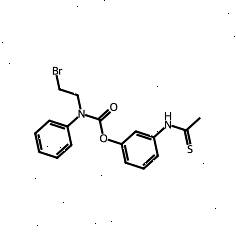 CC(=S)Nc1cccc(OC(=O)N(CCBr)c2ccccc2)c1